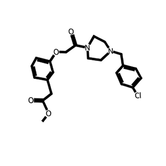 COC(=O)Cc1cccc(OCC(=O)N2CCN(Cc3ccc(Cl)cc3)CC2)c1